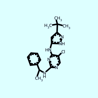 CC(Nc1ncc(Cl)c(Nc2cc(C(C)(C)C)n[nH]2)n1)c1ccccc1